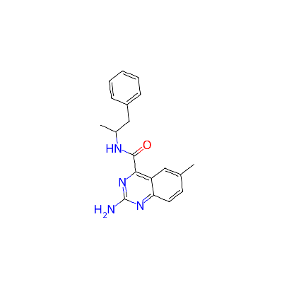 Cc1ccc2nc(N)nc(C(=O)NC(C)Cc3ccccc3)c2c1